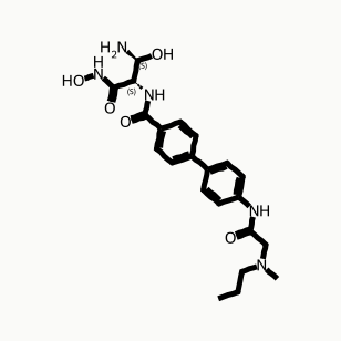 CCCN(C)CC(=O)Nc1ccc(-c2ccc(C(=O)N[C@H](C(=O)NO)[C@@H](N)O)cc2)cc1